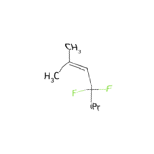 CC(C)=CC(F)(F)C(C)C